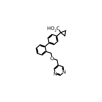 O=C(O)C1(c2ccc(-c3ccccc3COCc3cncnc3)cc2)CC1